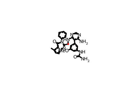 COc1cc(NC(N)=O)cc(-c2c(N)ncnc2N[C@@H](C)c2nn3ccc(C)c3c(=O)n2-c2ccccc2)c1